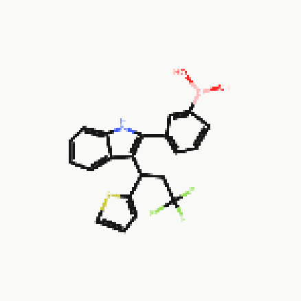 OB(O)c1cccc(-c2[nH]c3ccccc3c2C(CC(F)(F)F)c2cccs2)c1